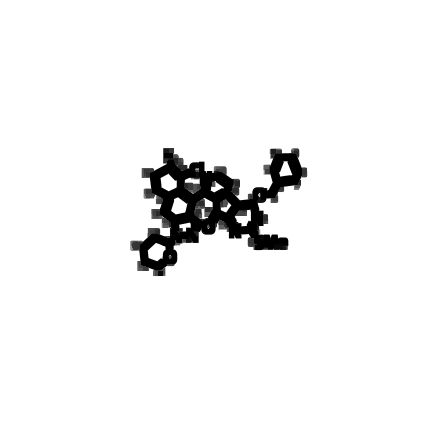 CSc1nc(OCc2ccccc2)c2c(n1)C(=O)c1c-2ccnc1-c1c2cnn(C3CCCCO3)c2cc2ccc(F)c(Cl)c12